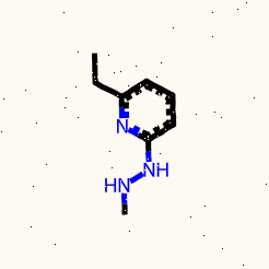 CCc1cccc(NNC)n1